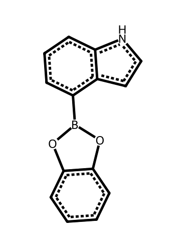 c1ccc2c(c1)OB(c1cccc3[nH]ccc13)O2